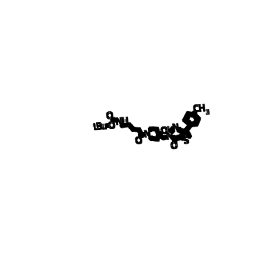 Cc1ccc(-c2csc3c(=O)n(CC4(O)CCN(C(=O)CCCCNC(=O)OC(C)(C)C)CC4)cnc23)cc1